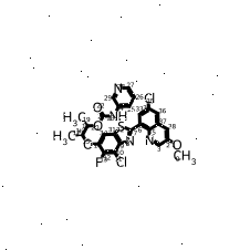 COc1cnc2c(-c3nc4c(Cl)c(F)c(O[C@@H](C)[C@@H](C)OC(=O)Nc5cccnc5)cc4s3)cc(Cl)cc2c1